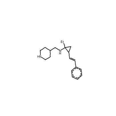 CCC1(NCC2CCNCC2)CC1/C=C/c1ccccc1